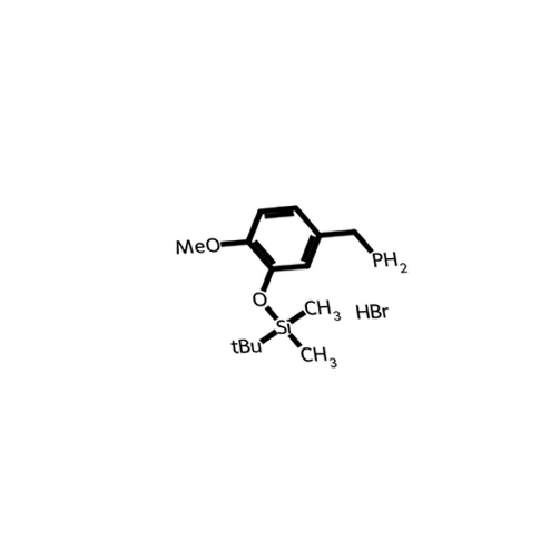 Br.COc1ccc(CP)cc1O[Si](C)(C)C(C)(C)C